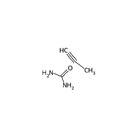 C#CC.NC(N)=O